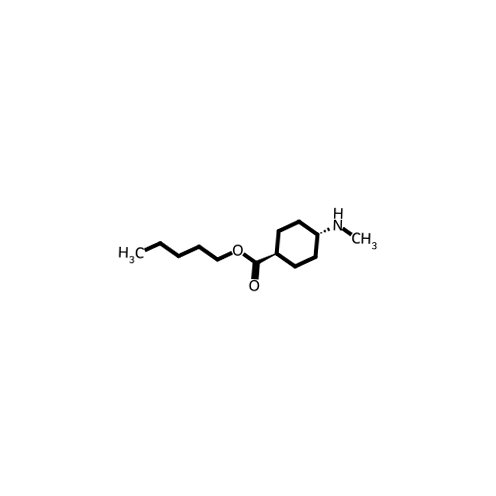 CCCCCOC(=O)[C@H]1CC[C@H](NC)CC1